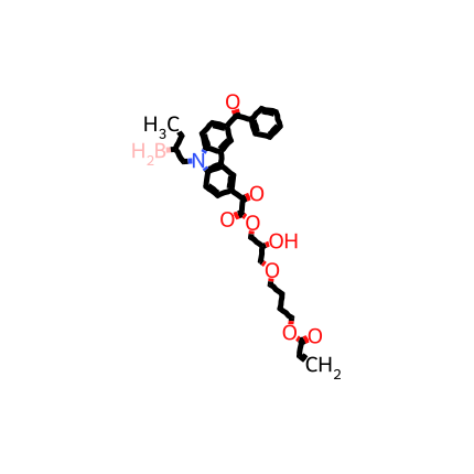 BC(CC)Cn1c2ccc(C(=O)C(=O)OCC(O)COCCCCOC(=O)C=C)cc2c2cc(C(=O)c3ccccc3)ccc21